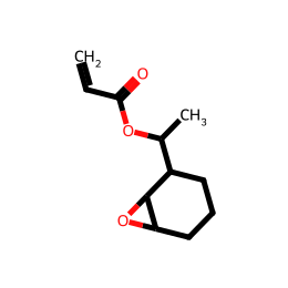 C=CC(=O)OC(C)C1CCCC2OC21